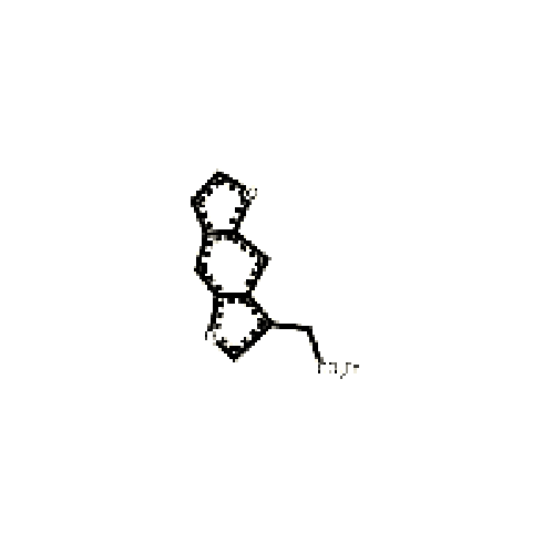 CCOC(=O)Cc1coc2cc3ccoc3cc12